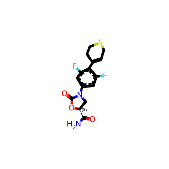 NC(=O)[C@H]1CN(c2cc(F)c(C3=CCSCC3)c(F)c2)C(=O)O1